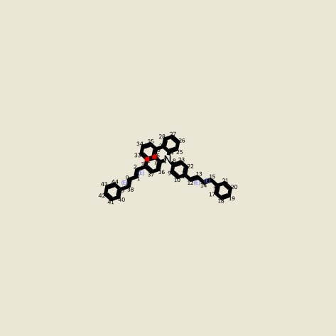 C(/C=C/c1ccc(N(c2ccc(/C=C/C=C/c3ccccc3)cc2)c2ccccc2-c2ccccc2)cc1)=C\c1ccccc1